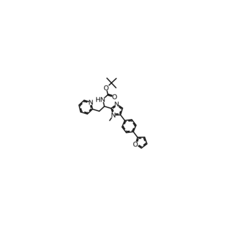 Cn1c(-c2ccc(-c3ccco3)cc2)cnc1C(Cc1ccccn1)NC(=O)OC(C)(C)C